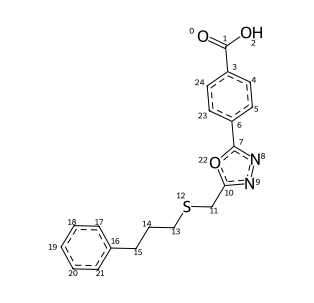 O=C(O)c1ccc(-c2nnc(CSCCCc3ccccc3)o2)cc1